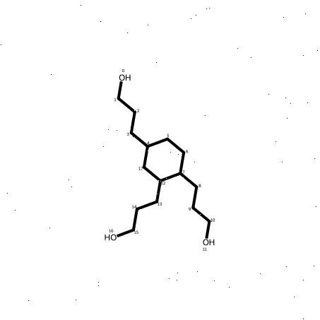 OCCCC1CCC(CCCO)C(CCCO)C1